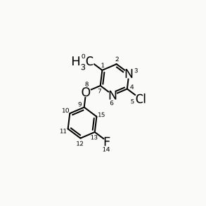 Cc1cnc(Cl)nc1Oc1cccc(F)c1